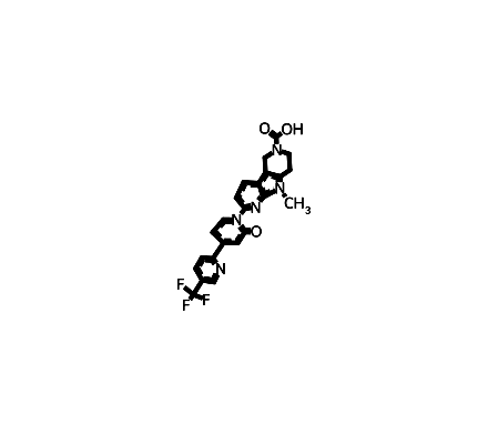 Cn1c2c(c3ccc(-n4ccc(-c5ccc(C(F)(F)F)cn5)cc4=O)nc31)CN(C(=O)O)CC2